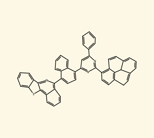 C1=CC2=CCc3ccc(-c4nc(-c5ccccc5)cc(-c5ccc(-c6nc7c8ccccc8sc7c7ccccc67)c6ccccc56)n4)c4c3C2C(=C1)C=C4